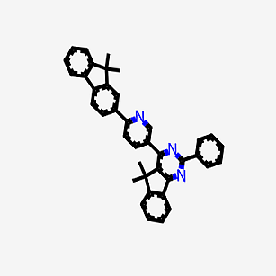 CC1(C)c2ccccc2-c2ccc(-c3ccc(-c4nc(-c5ccccc5)nc5c4C(C)(C)c4ccccc4-5)cn3)cc21